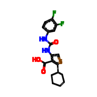 O=C(Nc1ccc(F)c(F)c1)Nc1csc(C2CCCCC2)c1C(=O)O